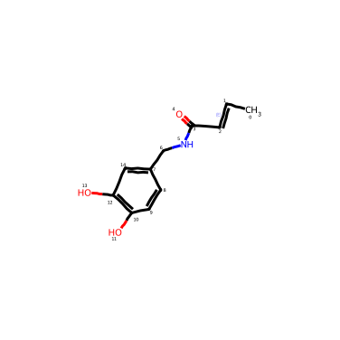 C/C=C/C(=O)NCc1ccc(O)c(O)c1